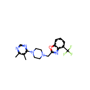 Cc1ncnc(N2CCN(Cc3nc4c(C(F)(F)F)cccc4o3)CC2)c1C